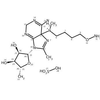 CC1=NC2(N(C)CCCCON)C(N)=NCN=C2N1[C@@H]1O[C@H](C)[C@@H](O)[C@H]1O.O=S(=O)(O)O